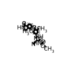 CCOC(=O)NC(=O)C(C#N)=NNc1cc(C)c(Oc2ccc3c(c2)CCNC3=O)c(C)c1